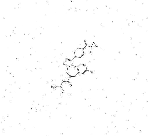 C[C@@H](CF)OC(=O)N1Cc2cc(Cl)ccc2-n2c(nnc2C2CCN(C(=O)C3(F)CC3)CC2)C1